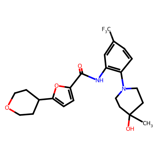 CC1(O)CCN(c2ccc(C(F)(F)F)cc2NC(=O)c2ccc(C3CCOCC3)o2)CC1